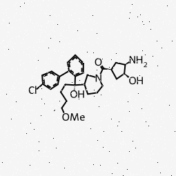 COCCCC[C@@](O)(c1ccccc1-c1ccc(Cl)cc1)C1CCCN(C(=O)[C@H]2C[C@@H](N)[C@@H](O)C2)C1